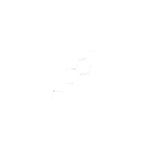 O=C(O)C[C@@H]1CCc2cc([N+](=O)[O-])ccc2O1